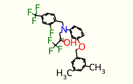 Cc1cc(C)cc(COc2cccc(N(Cc3ccc(C(F)(F)F)cc3F)C[C@@H](O)C(F)(F)F)c2)c1